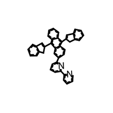 C1=C(c2c3ccccc3c(C3=Cc4ccccc4C3)c3cc(-c4cccc(-c5ccccn5)n4)ccc23)Cc2ccccc21